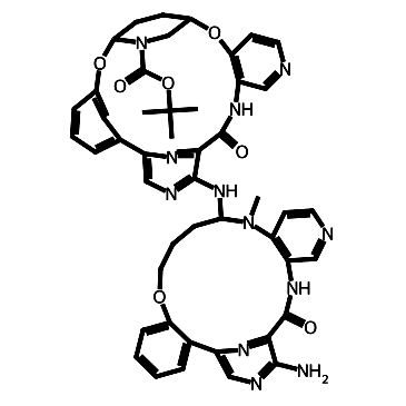 CN1c2ccncc2NC(=O)c2nc(cnc2N)-c2ccccc2OCCCC1Nc1ncc2nc1C(=O)Nc1cnccc1OC1CCC(Oc3cccc-2c3)N(C(=O)OC(C)(C)C)C1